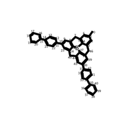 Cc1cc2c3c(c1)Cc1cc(-c4ccc(-c5ccccc5)cc4)cc4c1B3c1c(cc(-c3ccc(-c5ccccc5)cc3)cc1C4)C2